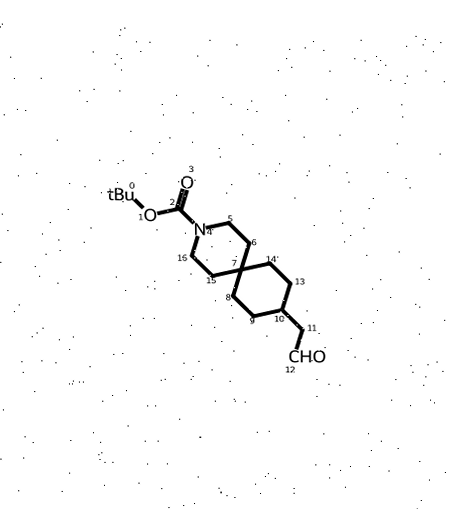 CC(C)(C)OC(=O)N1CCC2(CCC(CC=O)CC2)CC1